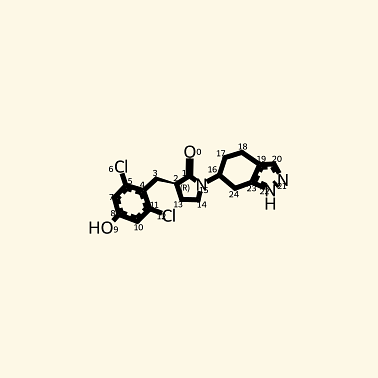 O=C1[C@H](Cc2c(Cl)cc(O)cc2Cl)CCN1C1CCc2cn[nH]c2C1